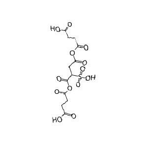 O=C(O)CCC(=O)OC(=O)CC(C(=O)OC(=O)CCC(=O)O)S(=O)(=O)O